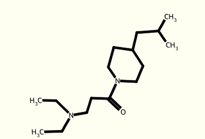 CCN(CC)CCC(=O)N1CCC(CC(C)C)CC1